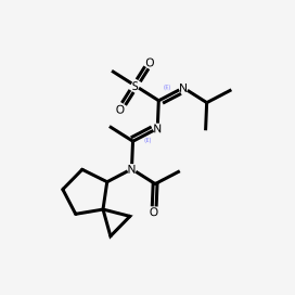 CC(=O)N(/C(C)=N/C(=N\C(C)C)S(C)(=O)=O)C1CCCC12CC2